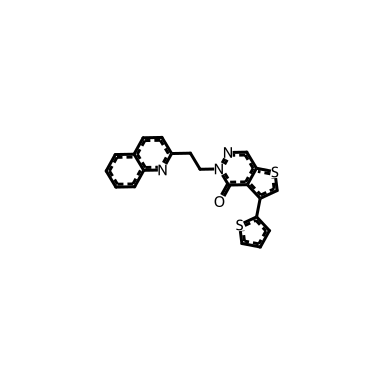 O=c1c2c(-c3cccs3)csc2cnn1CCc1ccc2ccccc2n1